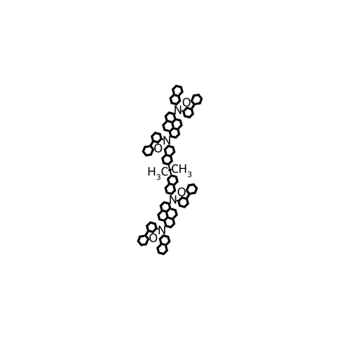 CC(C)(c1ccc2cc(N(c3ccc4ccc5c(N(c6ccc7ccccc7c6)c6cccc7c6oc6ccccc67)ccc6ccc3c4c65)c3cccc4c3oc3ccccc34)ccc2c1)c1ccc2cc(N(c3ccc4ccc5c(N(c6ccc7ccccc7c6)c6cccc7c6oc6ccccc67)ccc6ccc3c4c65)c3cccc4c3oc3ccccc34)ccc2c1